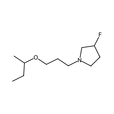 CCC(C)OCCCN1CCC(F)C1